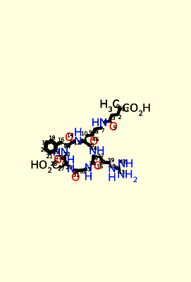 C[C@@H](CCC(=O)NCCCC[C@@H]1NC(=O)[C@@H](Cc2ccccc2)NC(=O)[C@H](CC(=O)O)NC(=O)CNC(=O)[C@H](CCCNC(=N)N)NC1=O)C(=O)O